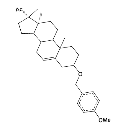 COc1ccc(COC2CCC3(C)C(=CCC4C3CC[C@@]3(C)C4CC[C@]3(C)C(C)=O)C2)cc1